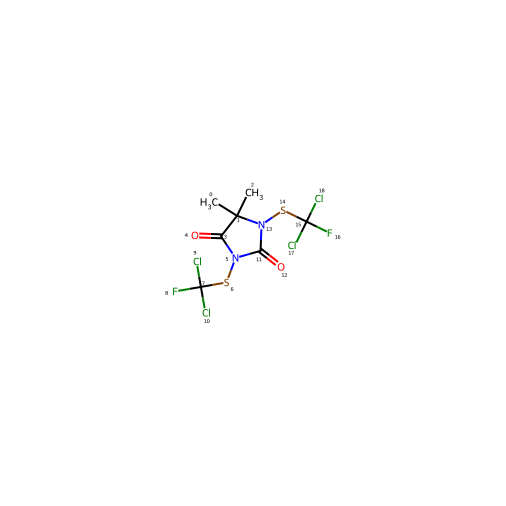 CC1(C)C(=O)N(SC(F)(Cl)Cl)C(=O)N1SC(F)(Cl)Cl